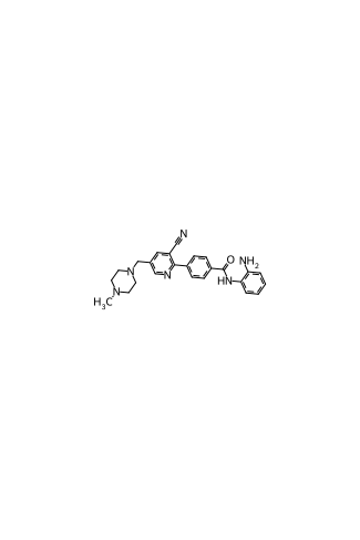 CN1CCN(Cc2cnc(-c3ccc(C(=O)Nc4ccccc4N)cc3)c(C#N)c2)CC1